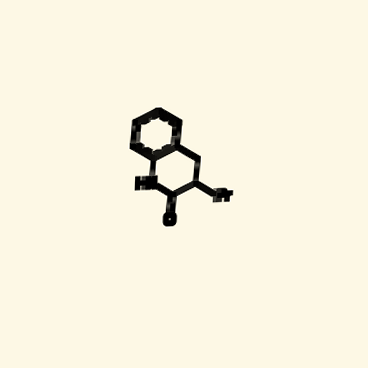 CC(C)C1Cc2ccccc2NC1=O